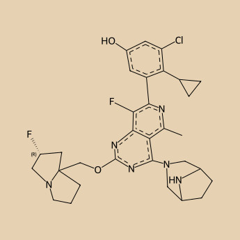 Cc1nc(-c2cc(O)cc(Cl)c2C2CC2)c(F)c2nc(OCC34CCCN3C[C@H](F)C4)nc(N3CC4CCC(C3)N4)c12